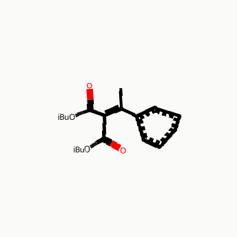 CC(=C(C(=O)OCC(C)C)C(=O)OCC(C)C)c1ccccc1